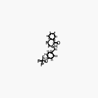 O=C1c2ccccc2N=C[SH]1Cc1ccc(OC(F)(F)F)cc1